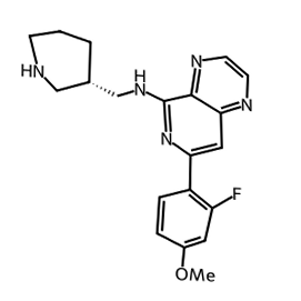 COc1ccc(-c2cc3nccnc3c(NC[C@H]3CCCNC3)n2)c(F)c1